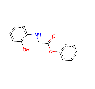 O=C(CNc1ccccc1O)Oc1ccccc1